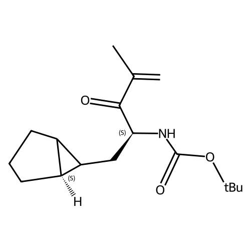 C=C(C)C(=O)[C@H](CC1C2CCC[C@@H]21)NC(=O)OC(C)(C)C